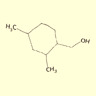 CC1CCC(CO)C(C)C1